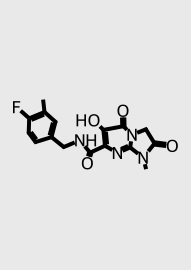 Cc1cc(CNC(=O)c2nc3n(c(=O)c2O)CC(=O)N3C)ccc1F